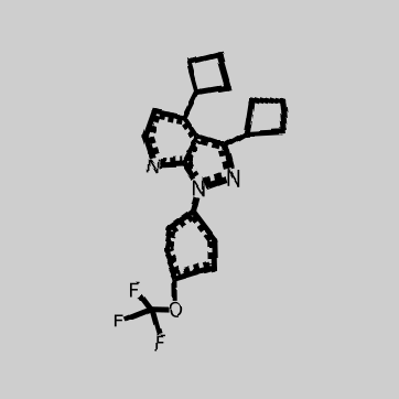 FC(F)(F)Oc1ccc(-n2nc(C3CCC3)c3c(C4CCC4)ccnc32)cc1